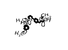 CCO/C(=C\c1ccc(-c2cccc(N(CC)C(=O)Nc3ccc(OC)cc3)n2)cc1)C(=O)O